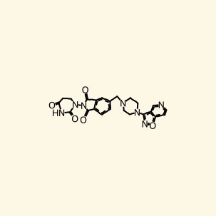 O=C1CCN(N2C(=O)c3ccc(CN4CCN(c5noc6ccncc56)CC4)cc3C2=O)C(=O)N1